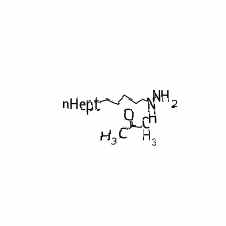 CCC(C)=O.CCCCCCCCCCCCNN